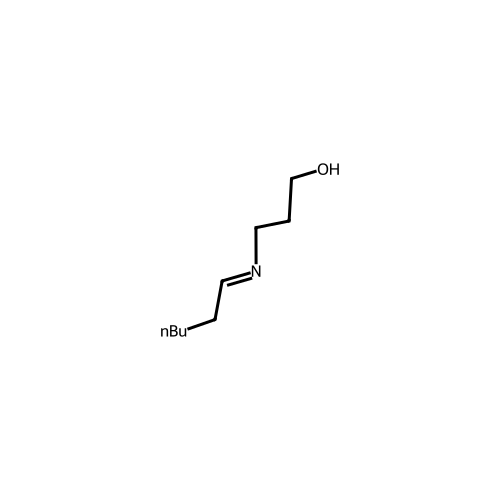 CCCCC/C=N/CCCO